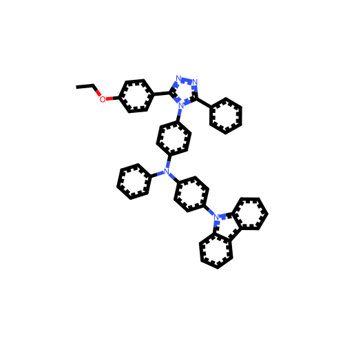 CCOc1ccc(-c2nnc(-c3ccccc3)n2-c2ccc(N(c3ccccc3)c3ccc(-n4c5ccccc5c5ccccc54)cc3)cc2)cc1